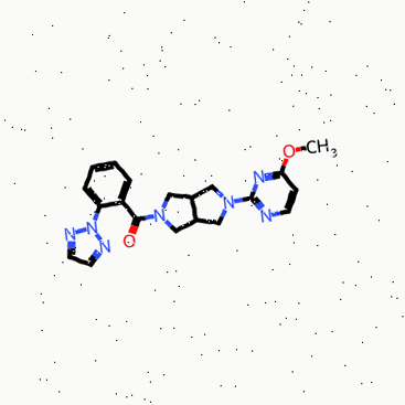 COc1ccnc(N2CC3CN(C(=O)c4ccccc4-n4nccn4)CC3C2)n1